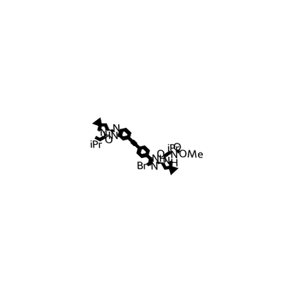 COC(=O)N[C@H](C(=O)N1CC2(CC2)C[C@H]1c1nc(Br)c(-c2ccc(C#Cc3ccc4nc([C@@H]5CC6(CC6)CN5C(=O)[C@@H](C)C(C)C)[nH]c4c3)cc2)[nH]1)C(C)C